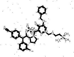 C[Si](C)(C)CCOCn1cc(OCc2ccccc2)c(=O)c(C(=O)N2CCCC2C(OS(C)(=O)=O)C(c2ccc(C#N)cc2)c2cccc(F)c2)n1